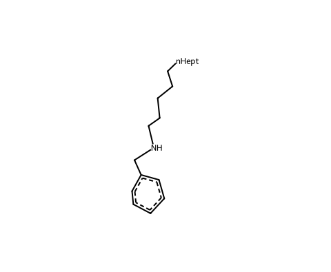 CCCCCCCCCCCCNCc1ccccc1